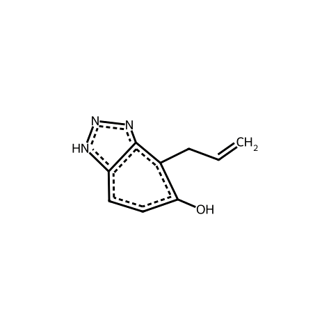 C=CCc1c(O)ccc2[nH]nnc12